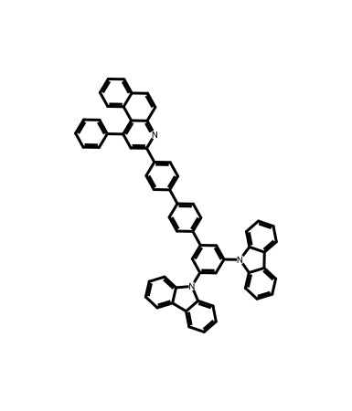 c1ccc(-c2cc(-c3ccc(-c4ccc(-c5cc(-n6c7ccccc7c7ccccc76)cc(-n6c7ccccc7c7ccccc76)c5)cc4)cc3)nc3ccc4ccccc4c23)cc1